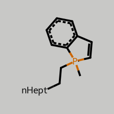 CCCCCCCCC[P]1(C)C=Cc2ccccc21